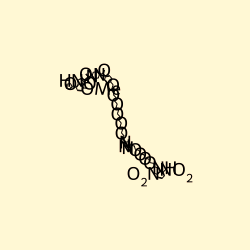 COc1ccc(-c2ccco2)c2[nH]cc(C(=O)C(=O)N3CCN(C(=O)c4ccc(OCCOCCOCCOCCOCCOCCn5cc(COCOCOCOCCNc6c([N+](=O)[O-])cccc6[N+](=O)[O-])nn5)cc4)CC3)c12